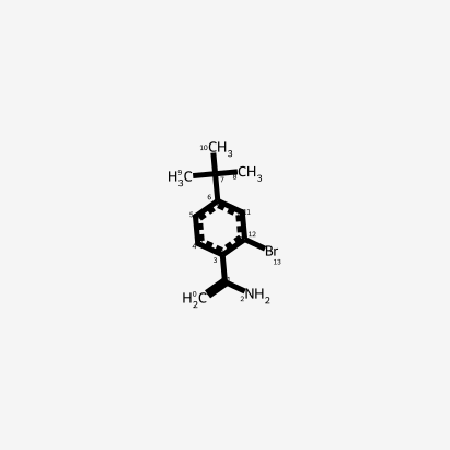 C=C(N)c1ccc(C(C)(C)C)cc1Br